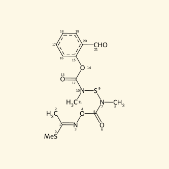 CSC(C)=NOC(=O)N(C)SN(C)C(=O)Oc1ccccc1C=O